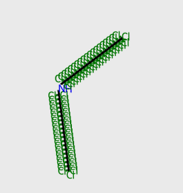 ClC(Cl)(Cl)C(Cl)(Cl)C(Cl)(Cl)C(Cl)(Cl)C(Cl)(Cl)C(Cl)(Cl)C(Cl)(Cl)C(Cl)(Cl)C(Cl)(Cl)C(Cl)(Cl)C(Cl)(Cl)C(Cl)(Cl)C(Cl)(Cl)C(Cl)(Cl)C(Cl)(Cl)C(Cl)(Cl)C(Cl)(Cl)C(Cl)(Cl)C(Cl)(Cl)CNCC(Cl)(Cl)C(Cl)(Cl)C(Cl)(Cl)C(Cl)(Cl)C(Cl)(Cl)C(Cl)(Cl)C(Cl)(Cl)C(Cl)(Cl)C(Cl)(Cl)C(Cl)(Cl)C(Cl)(Cl)C(Cl)(Cl)C(Cl)(Cl)C(Cl)(Cl)C(Cl)(Cl)C(Cl)(Cl)C(Cl)(Cl)C(Cl)(Cl)C(Cl)(Cl)Cl